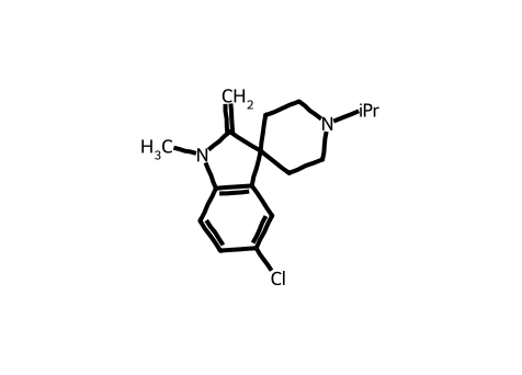 C=C1N(C)c2ccc(Cl)cc2C12CCN(C(C)C)CC2